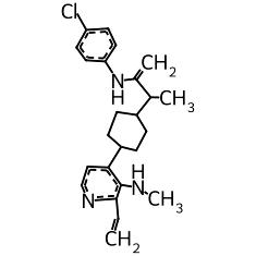 C=Cc1nccc(C2CCC(C(C)C(=C)Nc3ccc(Cl)cc3)CC2)c1NC